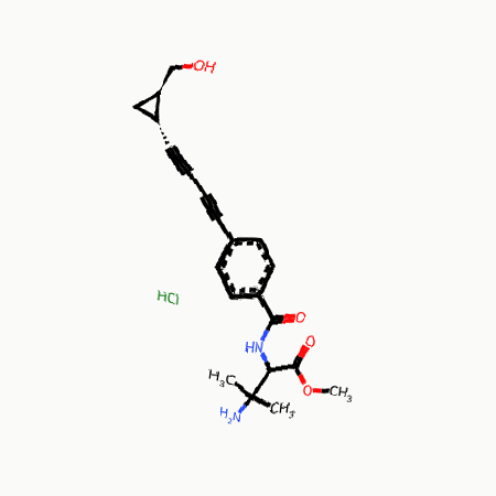 COC(=O)C(NC(=O)c1ccc(C#CC#C[C@@H]2C[C@H]2CO)cc1)C(C)(C)N.Cl